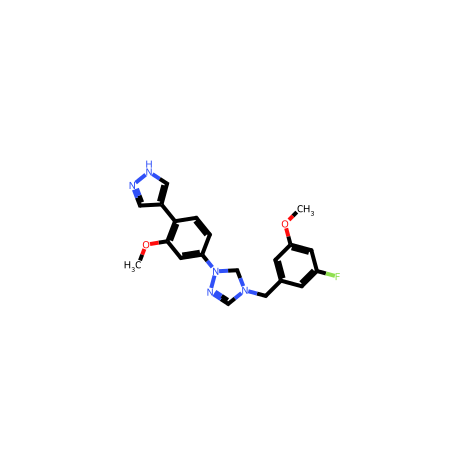 COc1cc(F)cc(CN2C=NN(c3ccc(-c4cn[nH]c4)c(OC)c3)C2)c1